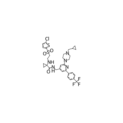 O=C(NCc1cc(-c2ccc(C(F)(F)F)cc2)nc(N2CCN(CC3CC3)CC2)c1)C1(NCCS(=O)(=O)c2ccc(Cl)s2)CC1